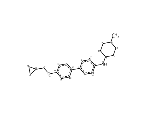 CC1CCC(Nc2ncc(-c3ccc(OCC4CC4)cc3)cn2)CC1